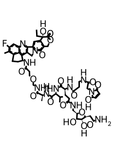 CC[C@@]1(O)C(=O)OCc2c1cc1n(c2=O)Cc2c-1nc1cc(F)c(C)c3c1c2[C@@H](NC(=O)CCOCNC(=O)[C@H](C)NC(=O)[C@@H](NC(=O)[C@H](CCC(=O)NC[C@H]1O[C@@H](CC(N)=O)[C@H](O)[C@@H]1O)NC(=O)CCNC(=O)CN1C(=O)C=CC1O)C(C)C)CC3